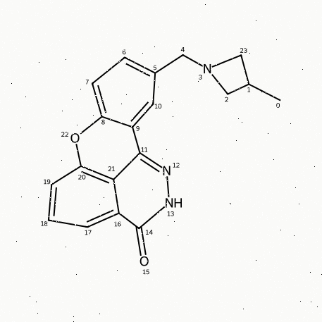 CC1CN(Cc2ccc3c(c2)-c2n[nH]c(=O)c4cccc(c24)O3)C1